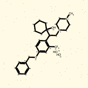 CN1CCN(CC(c2ccc(OCc3ccccc3)cc2C(F)(F)F)C2(O)CCCCC2)CC1.Cl.Cl